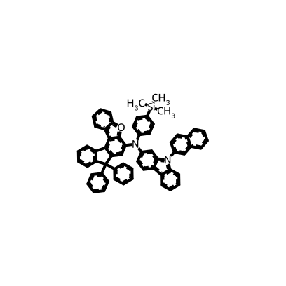 C[Si](C)(C)c1ccc(N(c2ccc3c4ccccc4n(-c4ccc5ccccc5c4)c3c2)c2cc3c(c4c2oc2ccccc24)-c2ccccc2C3(c2ccccc2)c2ccccc2)cc1